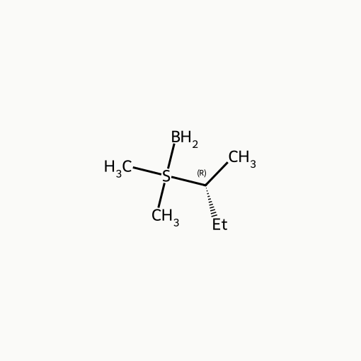 BS(C)(C)[C@H](C)CC